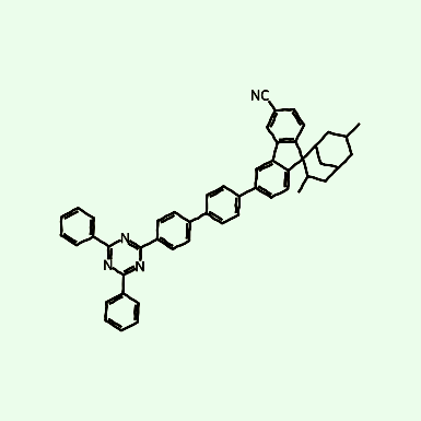 CC1CC2CC(C)C3(c4ccc(C#N)cc4-c4cc(-c5ccc(-c6ccc(-c7nc(-c8ccccc8)nc(-c8ccccc8)n7)cc6)cc5)ccc43)C(C1)C2